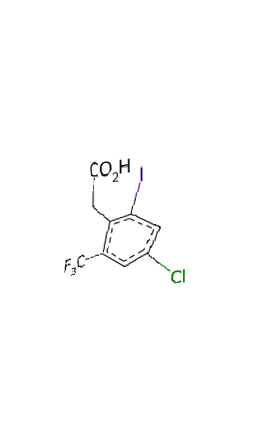 O=C(O)Cc1c(I)cc(Cl)cc1C(F)(F)F